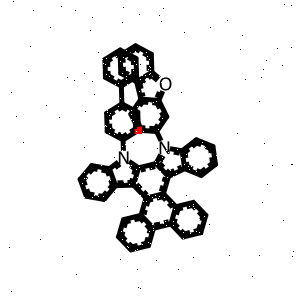 c1ccc(-c2ccc(-n3c4ccccc4c4c5c6ccccc6c6ccccc6c5c5c6ccccc6n(-c6ccc7c(c6)oc6ccccc67)c5c43)cc2)cc1